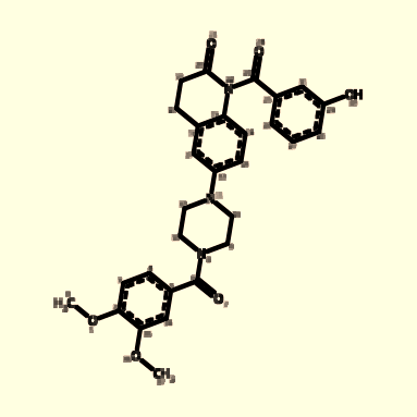 COc1ccc(C(=O)N2CCN(c3ccc4c(c3)CCC(=O)N4C(=O)c3cccc(O)c3)CC2)cc1OC